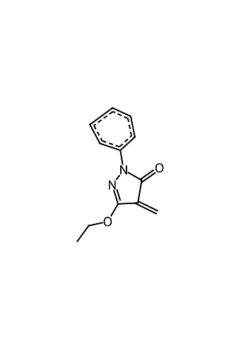 C=C1C(=O)N(c2ccccc2)N=C1OCC